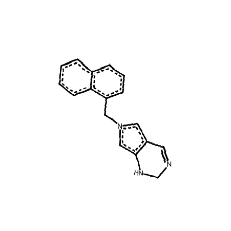 C1=NCNc2cn(Cc3cccc4ccccc34)cc21